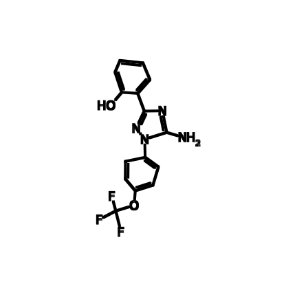 Nc1nc(-c2ccccc2O)nn1-c1ccc(OC(F)(F)F)cc1